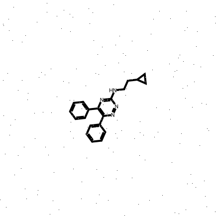 c1ccc(-c2nnc(NCCC3CC3)nc2-c2ccccc2)cc1